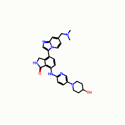 CN(C)Cc1ccn2c(-c3ccc(Nc4ccc(N5CCC(O)CC5)cn4)c4c3CNC4=O)cnc2c1